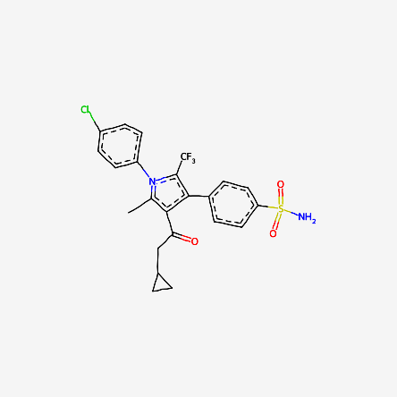 Cc1c(C(=O)CC2CC2)c(-c2ccc(S(N)(=O)=O)cc2)c(C(F)(F)F)n1-c1ccc(Cl)cc1